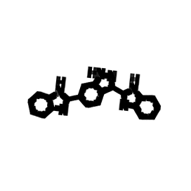 c1ccc2[nH]c(-c3ccc4c(-c5nc6ccccc6[nH]5)n[nH]c4c3)nc2c1